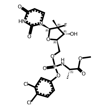 COC(=O)[C@H](C)NP(=O)(OC[C@H]1O[C@@H](n2ccc(=O)[nH]c2=O)[C@](C)(F)[C@@H]1O)Oc1ccc(Cl)c(Cl)c1